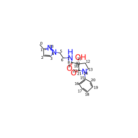 Cc1ccn(CCNC(=O)[C@@]2(O)CCN(c3ccccc3)C2=O)n1